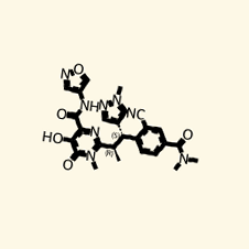 C[C@@H](c1nc(C(=O)Nc2cnoc2)c(O)c(=O)n1C)[C@H](c1cnn(C)c1)c1ccc(C(=O)N(C)C)cc1C#N